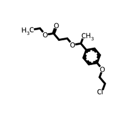 CCOC(=O)CCOC(C)c1ccc(OCCCl)cc1